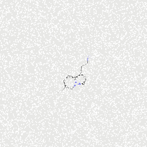 COc1ccc2c(CCN)ccn2c1